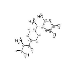 C[C@H](O)[C@@H](N)C(=O)N1CCC([C@@H](N)c2cc(Cl)c(Cl)cc2O)CC1